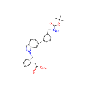 CC(C)(C)OC(=O)NCc1cccc(-c2ccc3cnn(Cc4ccccc4CC(=O)O)c3c2)c1